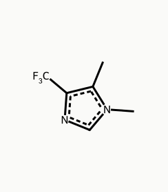 Cc1c(C(F)(F)F)ncn1C